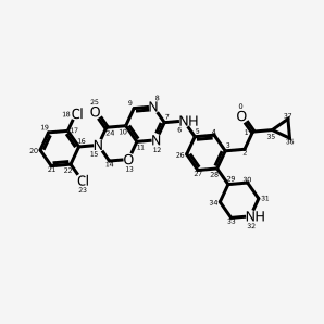 O=C(Cc1cc(Nc2ncc3c(n2)OCN(c2c(Cl)cccc2Cl)C3=O)ccc1C1CCNCC1)C1CC1